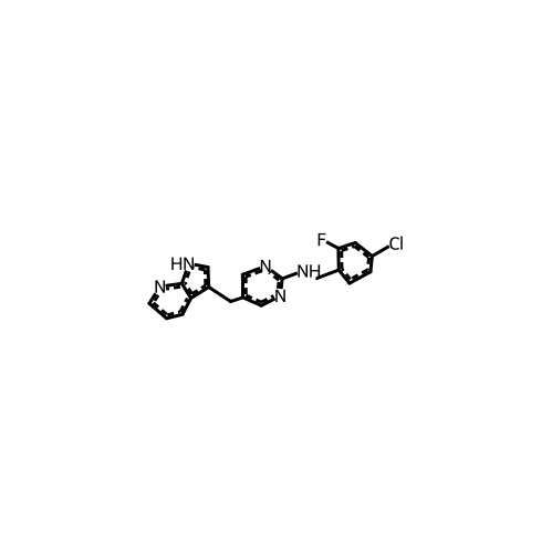 Fc1cc(Cl)ccc1CNc1ncc(Cc2c[nH]c3ncccc23)cn1